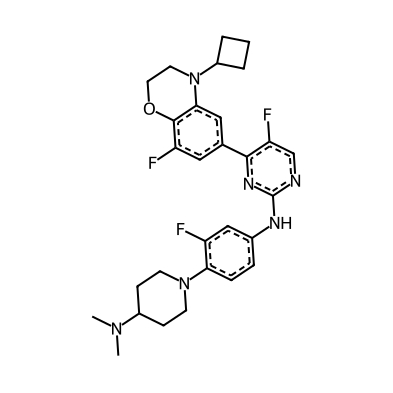 CN(C)C1CCN(c2ccc(Nc3ncc(F)c(-c4cc(F)c5c(c4)N(C4CCC4)CCO5)n3)cc2F)CC1